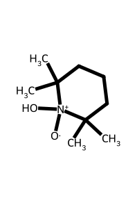 CC1(C)CCCC(C)(C)[N+]1([O])O